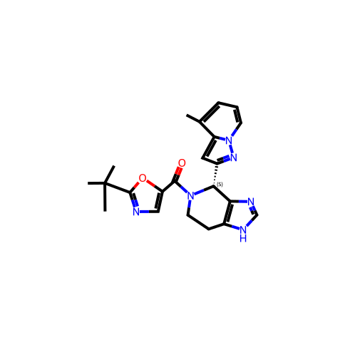 Cc1cccn2nc([C@@H]3c4nc[nH]c4CCN3C(=O)c3cnc(C(C)(C)C)o3)cc12